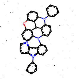 c1ccc(N2c3cccc4c3B3c5c(cccc5N(c5cccc6c5c5ncccc5n6-c5ccccc5)c5cccc2c53)O4)cc1